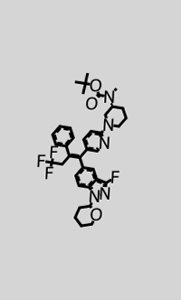 CN(C(=O)OC(C)(C)C)[C@H]1CCCN(c2ccc(/C(=C(/CC(F)(F)F)c3ccccc3)c3ccc4c(c3)c(F)nn4C3CCCCO3)cn2)C1